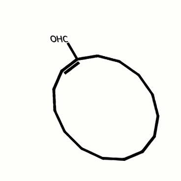 O=C/C1=C/CCCCCCCCCCCCC1